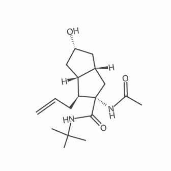 C=CC[C@H]1[C@@H]2C[C@H](O)C[C@@H]2C[C@@]1(NC(C)=O)C(=O)NC(C)(C)C